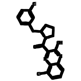 O=C(c1nc2c(Cl)cccc2nc1O)N1CCCC1Cc1cccc(Cl)c1